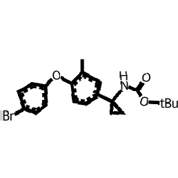 Cc1cc(C2(NC(=O)OC(C)(C)C)CC2)ccc1Oc1ccc(Br)cc1